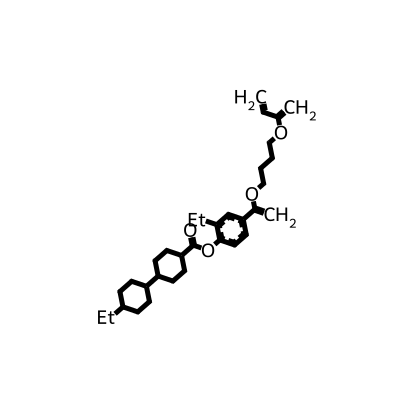 C=CC(=C)OCCCCOC(=C)c1ccc(OC(=O)C2CCC(C3CCC(CC)CC3)CC2)c(CC)c1